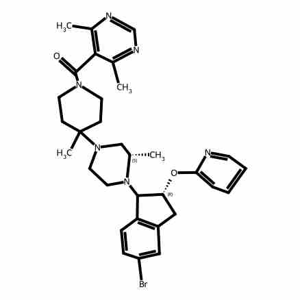 Cc1ncnc(C)c1C(=O)N1CCC(C)(N2CCN(C3c4ccc(Br)cc4C[C@H]3Oc3ccccn3)[C@@H](C)C2)CC1